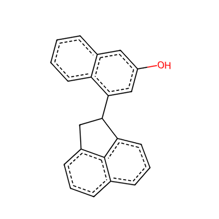 Oc1cc(C2Cc3cccc4cccc2c34)c2ccccc2c1